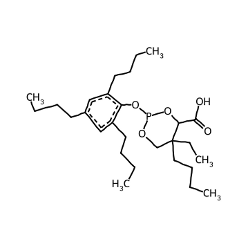 CCCCc1cc(CCCC)c(OP2OCC(CC)(CCCC)C(C(=O)O)O2)c(CCCC)c1